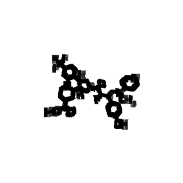 CN(C[C@@H](c1ccc(O)cc1)C(F)C(=O)N1C[C@@H]2c3ccc(C(F)(F)F)cc3N3CCC(C(=O)O)CC3[C@H]2C1)c1ccncc1